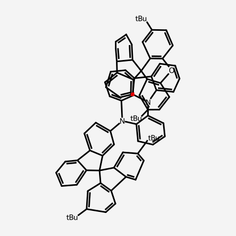 CC(C)(C)c1ccc2c(c1)C1(c3cc(C(C)(C)C)ccc3O2)c2ccccc2-c2ccc(N(c3ccc4c(c3)C3(c5ccccc5-4)c4cc(C(C)(C)C)ccc4-c4ccc(C(C)(C)C)cc43)c3ccccc3-n3c4ccccc4c4ccccc43)cc21